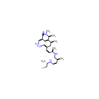 C=C(/C=C\N[C@@H](C)CCl)CNC(=C)/C=C\C(=C/N)CC(=C)/C(=C/C(C#N)=C\N)C(=C)NC